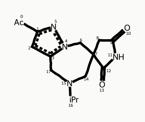 CC(=O)c1cc2n(n1)CC1(CC(=O)NC1=O)CN(C(C)C)C2